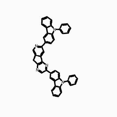 c1ccc(-n2c3ccccc3c3cc(-c4cc5c(cn4)Cc4ncc(-c6ccc7c(c6)c6ccccc6n7-c6ccccc6)nc4-5)ccc32)cc1